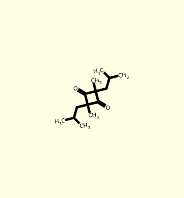 CC(C)CC1(C)C(=O)C(C)(CC(C)C)C1=O